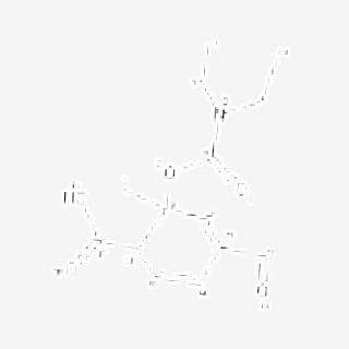 CCN(CC)C(=O)OC1(C)C=C(C=O)C=CC1C(=O)O